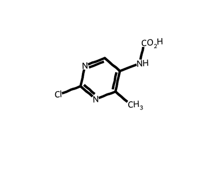 Cc1nc(Cl)ncc1NC(=O)O